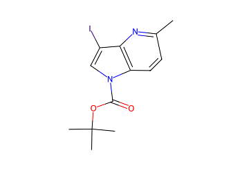 Cc1ccc2c(n1)c(I)cn2C(=O)OC(C)(C)C